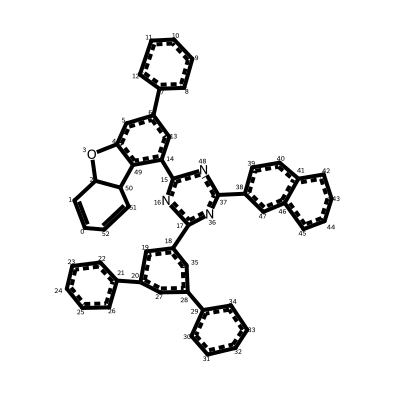 C1=CC2Oc3cc(-c4ccccc4)cc(-c4nc(-c5cc(-c6ccccc6)cc(-c6ccccc6)c5)nc(-c5ccc6ccccc6c5)n4)c3C2C=C1